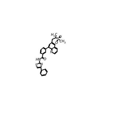 CC(Cc1cc(-c2cccc(C(=O)Nc3nc(-c4ccccc4)cs3)c2)c2ncccc2c1)S(C)(=O)=O